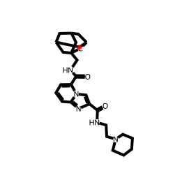 O=C(NCCN1CCCCC1)c1cn2c(C(=O)NCC34CC5CC(CC(C5)C3)C4)cccc2n1